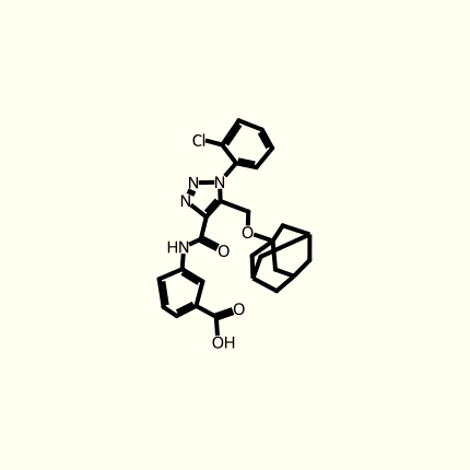 O=C(O)c1cccc(NC(=O)c2nnn(-c3ccccc3Cl)c2COC23CC4CC(CC(C4)C2)C3)c1